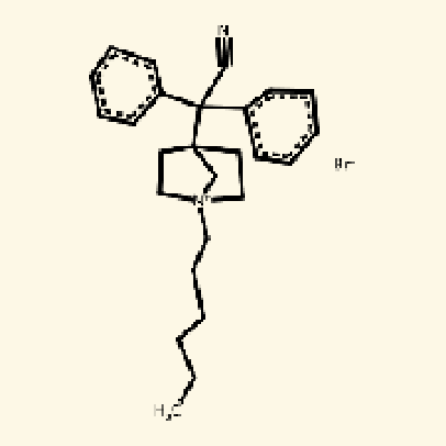 CCCCCC[N+]12CCC(C(C#N)(c3ccccc3)c3ccccc3)(CC1)C2.[Br-]